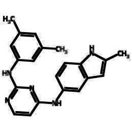 Cc1cc(C)cc(Nc2nccc(Nc3ccc4[nH]c(C)cc4c3)n2)c1